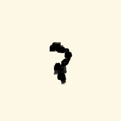 CS(=O)(=O)Nc1ccc(Oc2ccc(CN3CCC(N(C(=O)Nc4ccc(F)cc4)c4ccccc4)CC3)cc2)cc1